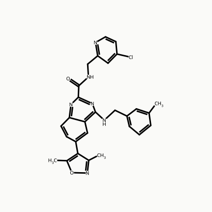 Cc1cccc(CNc2nc(C(=O)NCc3cc(Cl)ccn3)nc3ccc(-c4c(C)noc4C)cc23)c1